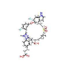 Cn1nc2nc1-c1cc(ccc1F)Oc1c(F)cc3[nH]ccc3c1CCS(=O)(=O)CC(C)(C)CCCC2(CO)c1cccc(CCC(=O)O)c1